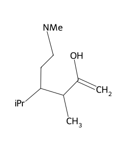 C=C(O)C(C)C(CCNC)C(C)C